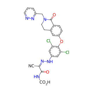 N#CC(=NNc1cc(Cl)c(Oc2ccc3c(c2)CCN(Cc2cccnn2)C3=O)c(Cl)c1)C(=O)NC(=O)O